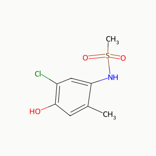 Cc1cc(O)c(Cl)cc1NS(C)(=O)=O